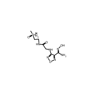 C[SH](N)(=O)CCNC(=O)CNc1nonc1/C(N)=N/O